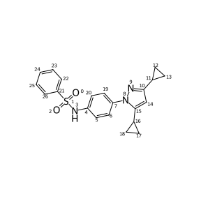 O=S(=O)(Nc1ccc(-n2nc(C3CC3)cc2C2CC2)cc1)c1ccccc1